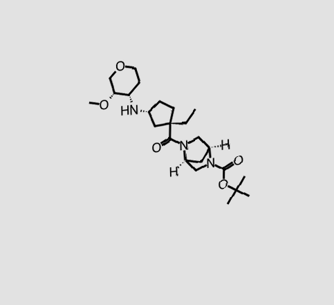 CC[C@]1(C(=O)N2C[C@@H]3C[C@H]2CN3C(=O)OC(C)(C)C)CC[C@@H](N[C@H]2CCOC[C@H]2OC)C1